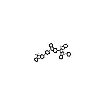 CC1(C)c2ccccc2-c2ccc(-c3ccc(-n4c5ccccc5c5cc(-n6c7c8ccccc8n(-c8ccccc8)c7n7c8ccccc8nc67)ccc54)cc3)cc21